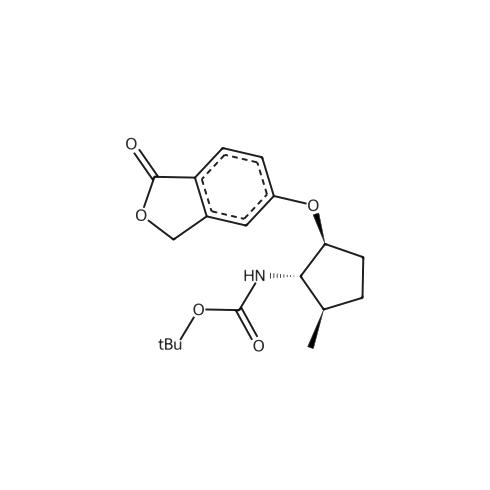 C[C@@H]1CC[C@H](Oc2ccc3c(c2)COC3=O)[C@H]1NC(=O)OC(C)(C)C